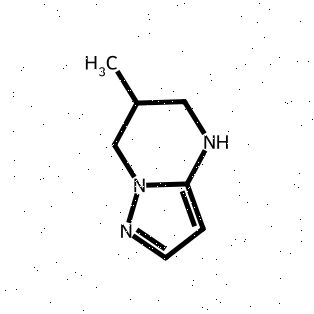 CC1CNc2ccnn2C1